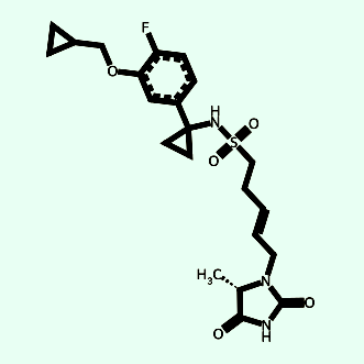 C[C@H]1C(=O)NC(=O)N1C/C=C/CCS(=O)(=O)NC1(c2ccc(F)c(OCC3CC3)c2)CC1